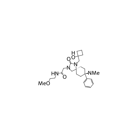 CN[C@]1(c2ccccc2)CC[C@]2(CC1)CN(CC(=O)NCCOC)C(=O)N2CC1(O)CCC1